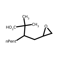 CCCCCC(CC1CO1)C(C)(C)C(=O)O